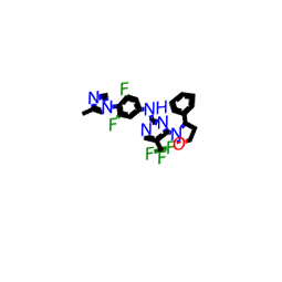 Cc1cn(-c2c(F)cc(Nc3ncc(C(F)(F)F)c(N4OCCC4c4ccccc4)n3)cc2F)cn1